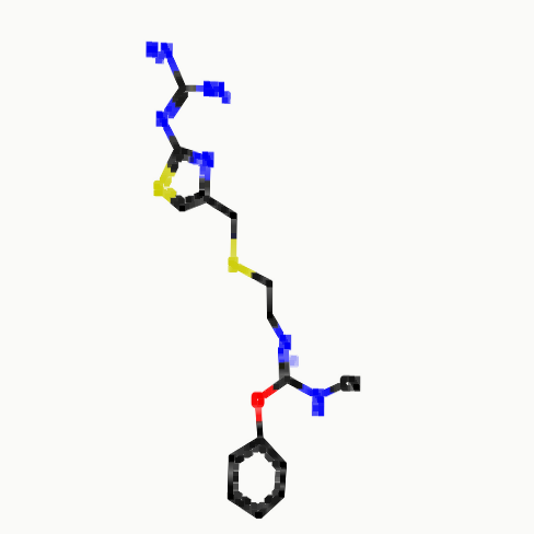 N#CN/C(=N/CCSCc1csc(N=C(N)N)n1)Oc1ccccc1